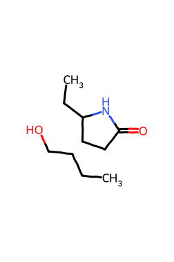 CCC1CCC(=O)N1.CCCCO